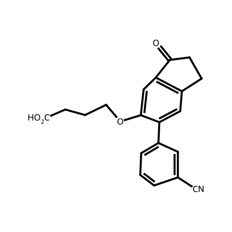 N#Cc1cccc(-c2cc3c(cc2OCCCC(=O)O)C(=O)CC3)c1